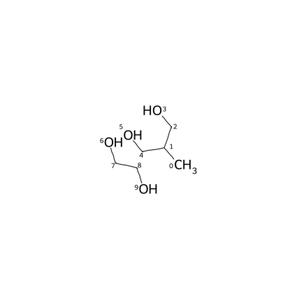 CC(CO)CO.OCCO